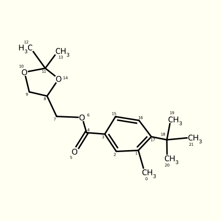 Cc1cc(C(=O)OCC2COC(C)(C)O2)ccc1C(C)(C)C